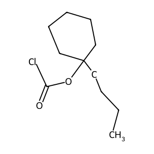 CCCCC1(OC(=O)Cl)CCCCC1